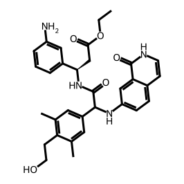 CCOC(=O)C[C@@H](NC(=O)C(Nc1ccc2cc[nH]c(=O)c2c1)c1cc(C)c(CCO)c(C)c1)c1cccc(N)c1